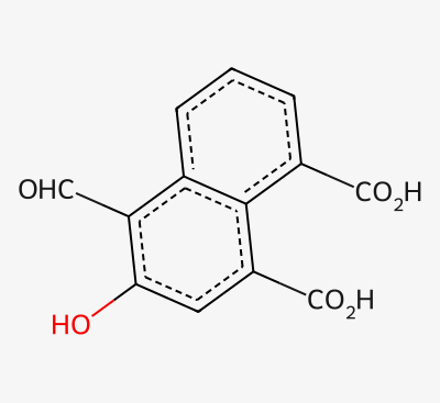 O=Cc1c(O)cc(C(=O)O)c2c(C(=O)O)cccc12